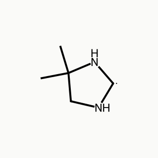 CC1(C)CN[CH]N1